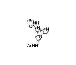 CC(=O)NCc1ccc(-c2cc(C(=O)NC(C)(C)C)nn2-c2cccnc2)nc1